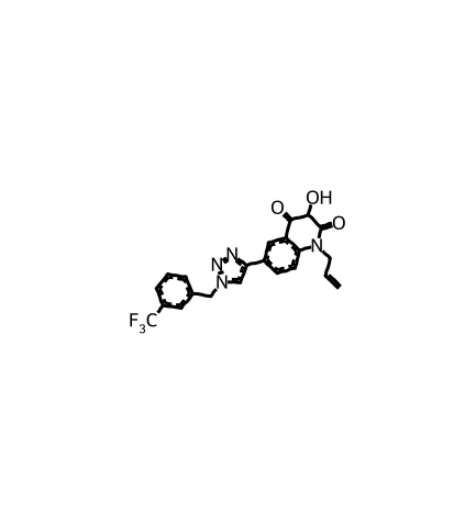 C=CCN1C(=O)C(O)C(=O)c2cc(-c3cn(Cc4cccc(C(F)(F)F)c4)nn3)ccc21